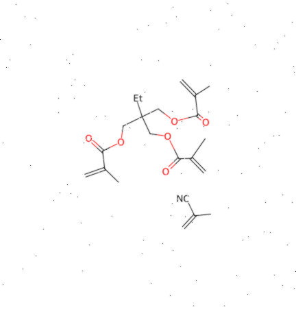 C=C(C)C#N.C=C(C)C(=O)OCC(CC)(COC(=O)C(=C)C)COC(=O)C(=C)C